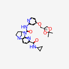 CC1(C)OC[C@H](COc2ccnc(NC(=O)N3c4nc(C(=O)NC5CC5)ccc4N4CCC3C4)c2)O1